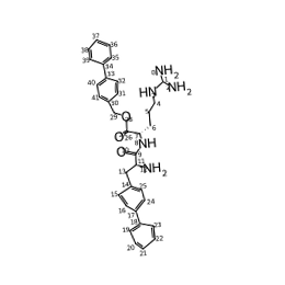 NC(N)NCCC[C@H](NC(=O)[C@@H](N)Cc1ccc(-c2ccccc2)cc1)C(=O)OCc1ccc(-c2ccccc2)cc1